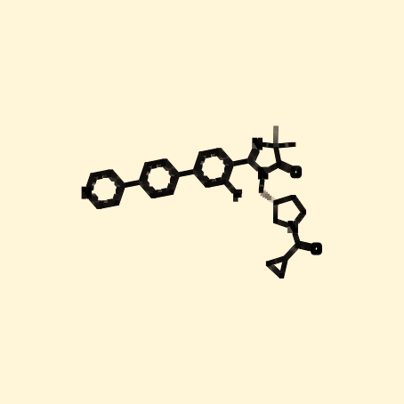 CC1(C)N=C(c2ccc(-c3ccc(-c4ccncc4)cc3)cc2F)N(C[C@@H]2CCN(C(=O)C3CC3)C2)C1=O